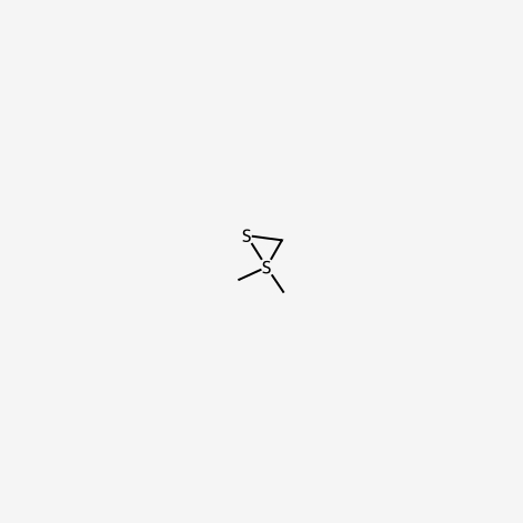 CS1(C)CS1